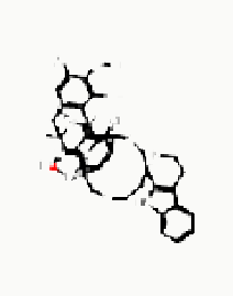 COc1c(C)cc2c(c1O)[C@@H]1C3[C@@H]4SC[C@]5(NCCc6c5[nH]c5ccccc65)C(=O)COC[C@@H](c5c6c(c(C)c(O)c54)OCO6)N3[C@@H](O)[C@H](C2)N1C